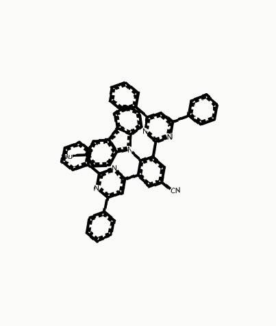 CC(C)(C)c1ccc2c(c1)c1ccccc1n2-c1c(-c2cc(-c3ccccc3)nc(-c3ccccc3)n2)cc(C#N)cc1-c1nc(-c2ccccc2)cc(-c2ccccc2)n1